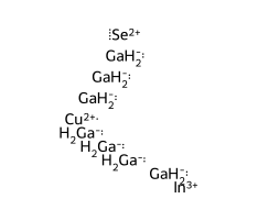 [Cu+2].[GaH2-].[GaH2-].[GaH2-].[GaH2-].[GaH2-].[GaH2-].[GaH2-].[In+3].[Se+2]